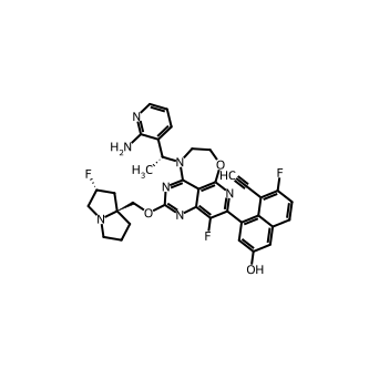 C#Cc1c(F)ccc2cc(O)cc(-c3nc4c5c(nc(OC[C@@]67CCCN6C[C@H](F)C7)nc5c3F)N([C@H](C)c3cccnc3N)CCO4)c12